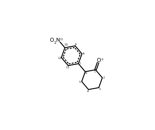 O=C1CCCCC1c1ccc([N+](=O)[O-])cc1